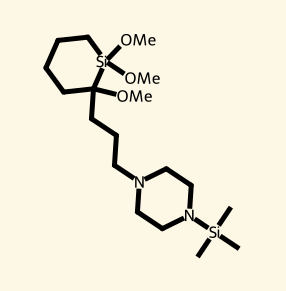 COC1(CCCN2CCN([Si](C)(C)C)CC2)CCCC[Si]1(OC)OC